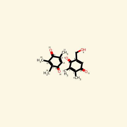 CC1=C(C)C(=O)C(CO)=CC1=O.CC1=CC(=O)C(C)=C(C)C1=O